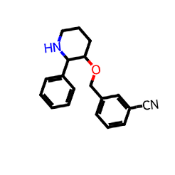 N#Cc1cccc(COC2CCCNC2c2ccccc2)c1